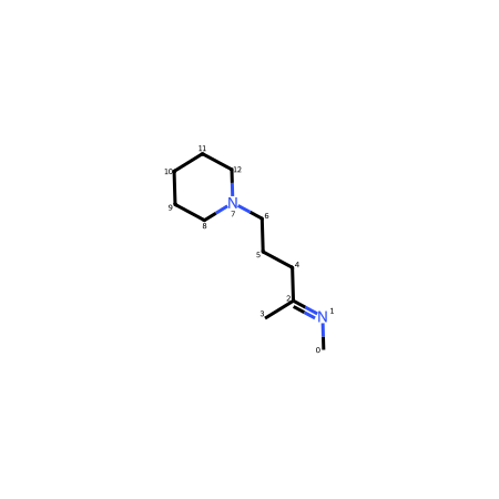 C/N=C(\C)CCCN1CCCCC1